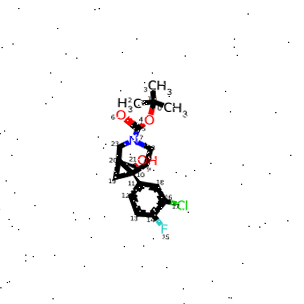 CC(C)(C)OC(=O)N1CC[C@]2(c3ccc(F)c(Cl)c3)C[C@]2(CO)C1